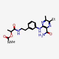 CCc1nc(C(N)=O)c(Nc2cccc(CCNC(=O)C(C)OC(=O)NC)c2)nc1C